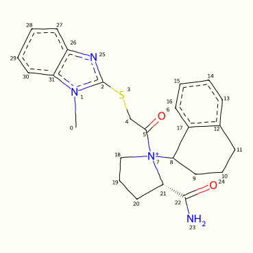 Cn1c(SCC(=O)[N+]2(C3CCCc4ccccc43)CCC[C@H]2C(N)=O)nc2ccccc21